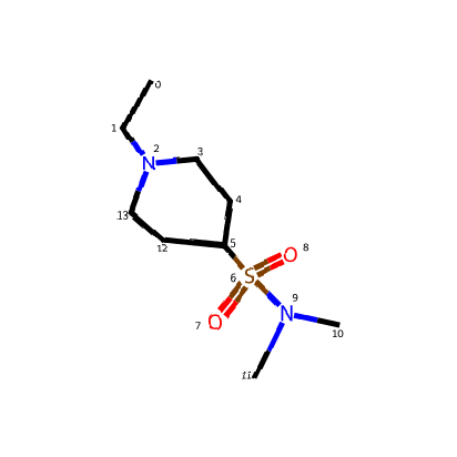 CCN1CCC(S(=O)(=O)N(C)C)CC1